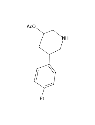 CCc1ccc(C2CNCC(OC(C)=O)C2)cc1